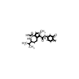 CC(C)C1CCc2c(cn(C)c2C(=O)Nc2ccc(F)c(Cl)c2)S(=N)(=O)N1